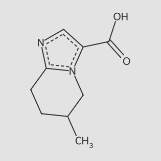 CC1CCc2ncc(C(=O)O)n2C1